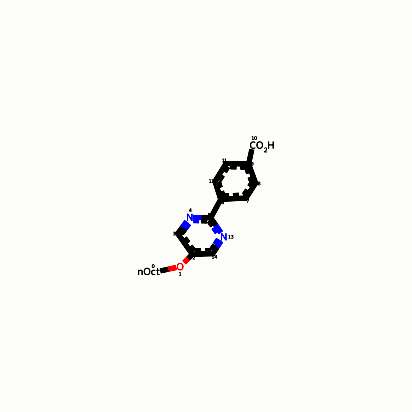 CCCCCCCCOc1cnc(-c2ccc(C(=O)O)cc2)nc1